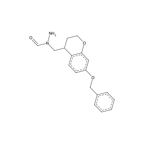 NN(C=O)CC1CCOc2cc(OCc3ccccc3)ccc21